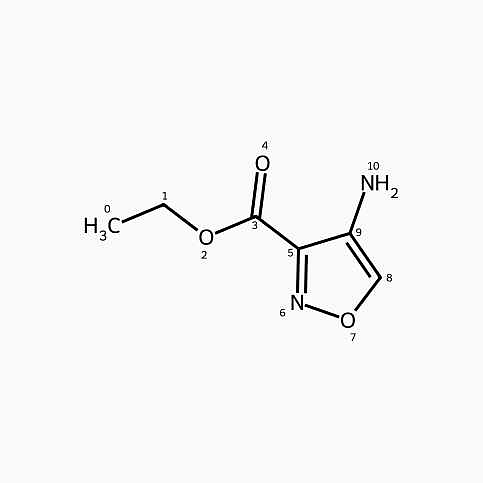 CCOC(=O)c1nocc1N